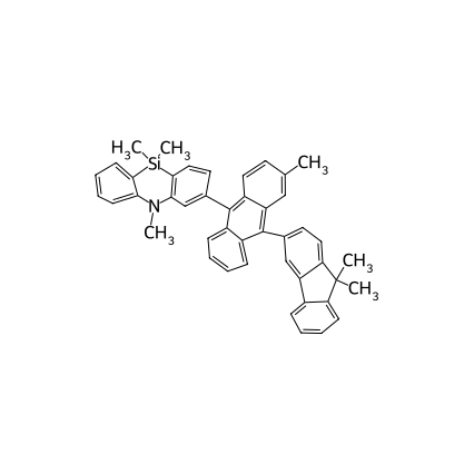 Cc1ccc2c(-c3ccc4c(c3)N(C)c3ccccc3[Si]4(C)C)c3ccccc3c(-c3ccc4c(c3)-c3ccccc3C4(C)C)c2c1